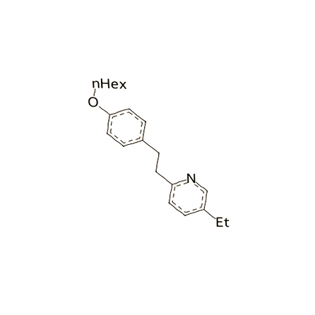 CCCCCCOc1ccc(CCc2ccc(CC)cn2)cc1